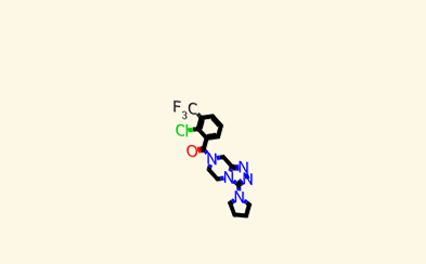 O=C(c1cccc(C(F)(F)F)c1Cl)N1CCn2c(nnc2N2CCCC2)C1